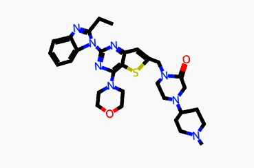 CCc1nc2ccccc2n1-c1nc(N2CCOCC2)c2sc(CN3CCN(C4CCN(C)CC4)CC3=O)cc2n1